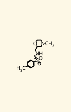 Cc1ccc(S(=O)(=O)SNCC2CN(C)CCO2)cc1